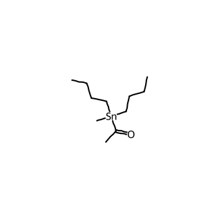 CCC[CH2][Sn]([CH3])([CH2]CCC)[C](C)=O